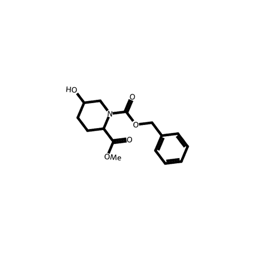 COC(=O)C1CCC(O)CN1C(=O)OCc1ccccc1